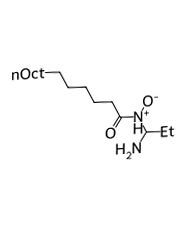 CCCCCCCCCCCCCC(=O)[NH+]([O-])C(N)CC